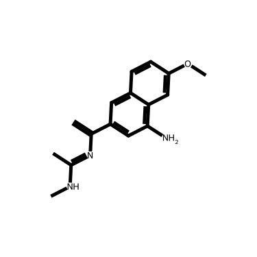 C=C(/N=C(\C)NC)c1cc(N)c2cc(OC)ccc2c1